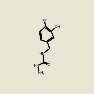 NNC(=O)NCc1ccc(Br)c(O)c1